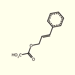 O=C(O)C(=O)OCC=Cc1ccccc1